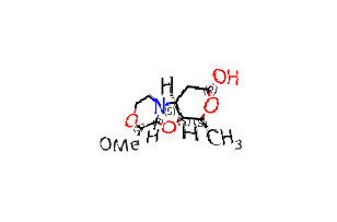 CO[C@H]1OCCN2[C@@H]1O[C@@H]1[C@H](C)O[C@@H](O)C[C@@H]12